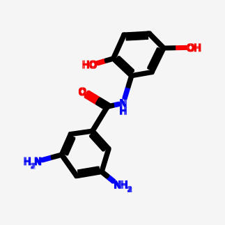 Nc1cc(N)cc(C(=O)Nc2cc(O)ccc2O)c1